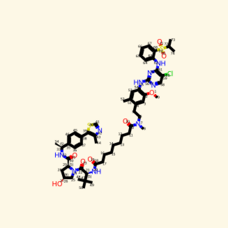 COc1cc(CCN(C)C(=O)CCCCCCCC(=O)N[C@H](C(=O)N2C[C@H](O)C[C@H]2C(=O)N[C@@H](C)c2ccc(-c3scnc3C)cc2)C(C)(C)C)c(C)cc1Nc1ncc(Cl)c(Nc2ccccc2S(=O)(=O)C(C)C)n1